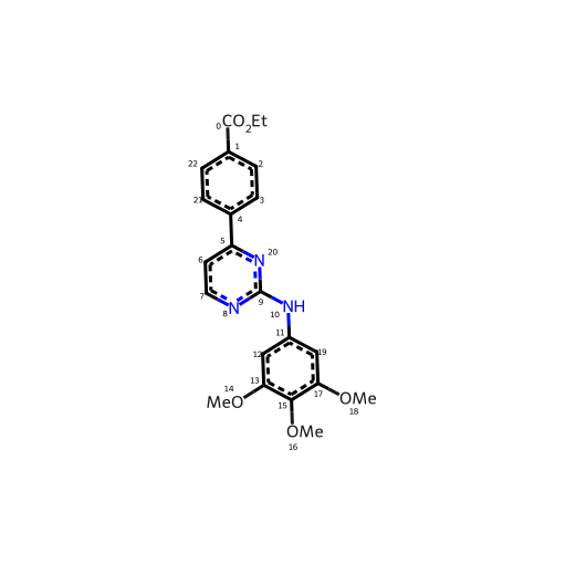 CCOC(=O)c1ccc(-c2ccnc(Nc3cc(OC)c(OC)c(OC)c3)n2)cc1